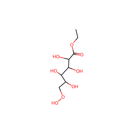 CCOC(=O)C(O)C(O)C(O)C(O)COO